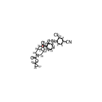 Cc1c(Nc2ccc(C#N)cc2Cl)ncnc1OC1C2CN(C(=O)OC3(C)CC3)CC1CS(=O)(=O)C2